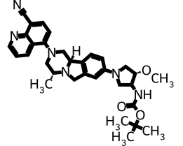 CO[C@H]1CN(c2ccc3c(c2)CN2[C@H](C)CN(c4ccc(C#N)c5ncccc45)C[C@H]32)CC1NC(=O)OC(C)(C)C